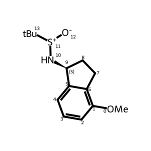 COc1cccc2c1CC[C@@H]2N[S+]([O-])C(C)(C)C